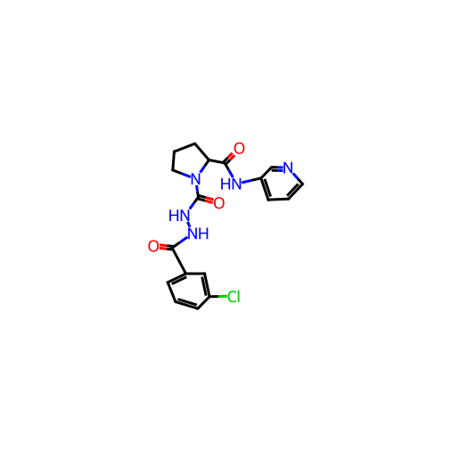 O=C(NNC(=O)N1CCCC1C(=O)Nc1cccnc1)c1cccc(Cl)c1